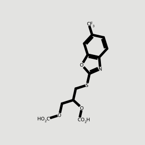 O=C(O)OCC(CSc1nc2ccc(C(F)(F)F)cc2o1)OC(=O)O